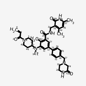 C=CC(=O)N1CCC(N(CC)c2cc(-c3ccc(CN4CCNC(=O)C4)cc3)cc(C(=O)NCc3c(C)cc(C)[nH]c3=O)c2C)CC1